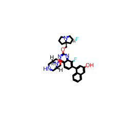 Oc1cc(-c2ccc3c(N4[C@@H]5CNC[C@H]4COC5)nc(OC[C@@]45CCCN4C[C@H](F)C5)nc3c2F)c2ccccc2c1